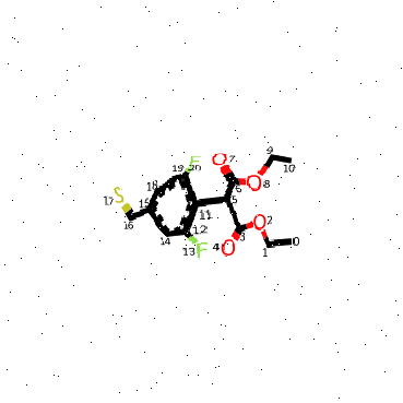 CCOC(=O)C(C(=O)OCC)c1c(F)cc(C=S)cc1F